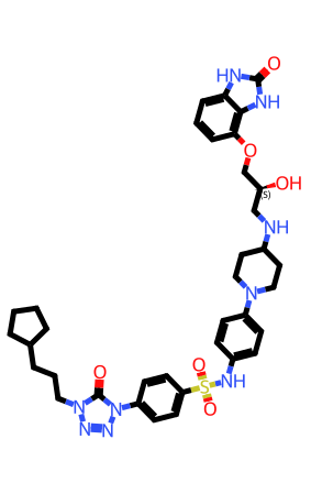 O=c1[nH]c2cccc(OC[C@@H](O)CNC3CCN(c4ccc(NS(=O)(=O)c5ccc(-n6nnn(CCCC7CCCC7)c6=O)cc5)cc4)CC3)c2[nH]1